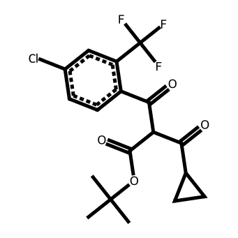 CC(C)(C)OC(=O)C(C(=O)c1ccc(Cl)cc1C(F)(F)F)C(=O)C1CC1